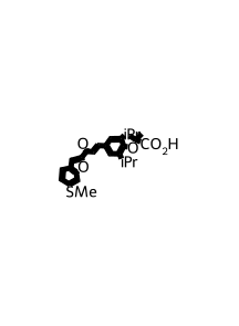 CSc1ccc2cc(C(=O)C=Cc3cc(C(C)C)c(OC(C)(C)C(=O)O)c(C(C)C)c3)oc2c1